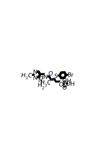 C/C(C(=O)NCc1cnc(C)nc1N)=C(\CCOP(=O)(O)O)Sc1ccc(Br)cc1